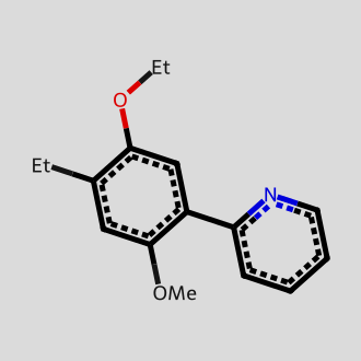 CCOc1cc(-c2ccccn2)c(OC)cc1CC